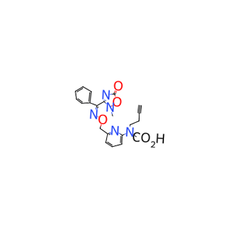 C#CCCN(C(=O)O)c1cccc(CO/N=C(/c2ccccc2)c2nc(=O)on2C)n1